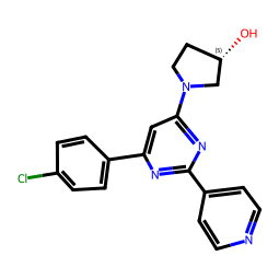 O[C@H]1CCN(c2cc(-c3ccc(Cl)cc3)nc(-c3ccncc3)n2)C1